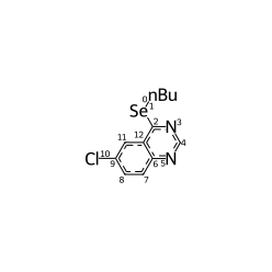 CCCC[Se]c1ncnc2ccc(Cl)cc12